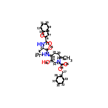 CC(C)CC(NC(=O)c1cc2ccccc2o1)C(=O)N[C@H]1CC[C@@H](C)N(C(=O)OCc2ccccc2)C[C@@H]1O